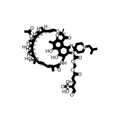 CC(=O)O[C@H]1[C@H](C)[C@H](O)[C@H](C)[C@@H](O)[C@@H](C)/C=C/C=C(/C)C(=O)NC2=C(O)c3c(O)c(C)c4c(c3C3=NC5(CCN(CC(C)C)CC5)N(C(=O)OCOC(=O)CCC(C=O)P(=O)(O)O)C32)C(=O)[C@@](C)(O/C=C/[C@H](C)[C@H]1C)O4